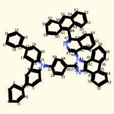 c1ccc(-c2ccc3c(c2)c2cc(-c4ccccc4)ccc2n3-c2ccc(-c3nc4c5ccccc5c5ccccc5c4n3-c3cnc(-c4c5ccccc5cc5ccccc45)c4ccccc34)cc2)cc1